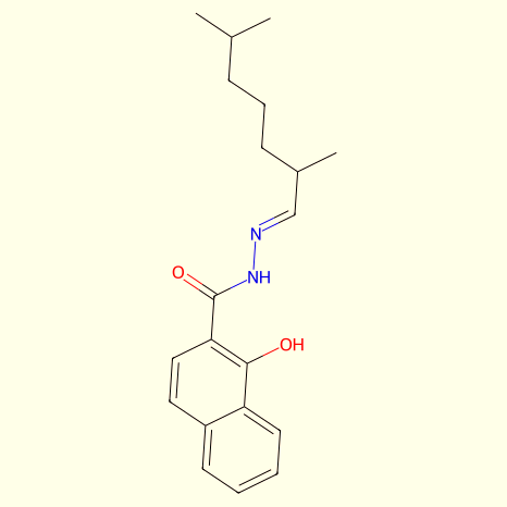 CC(C)CCCC(C)C=NNC(=O)c1ccc2ccccc2c1O